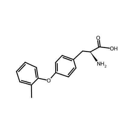 Cc1ccccc1Oc1ccc(C[C@H](N)C(=O)O)cc1